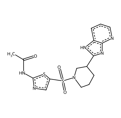 CC(=O)Nc1ncc(S(=O)(=O)N2CCCC(c3nc4ncccc4[nH]3)C2)s1